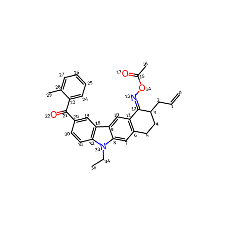 C=CCC1CCc2cc3c(cc2/C1=N/OC(C)=O)c1cc(C(=O)c2ccccc2C)ccc1n3CC